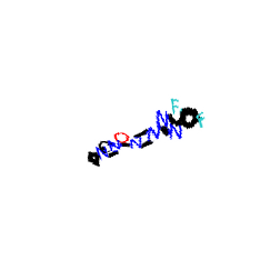 O=C(CN1CCN(c2cnc(-c3cc(F)ccc3F)cn2)CC1)N1CCN(C2CCC2)CC1